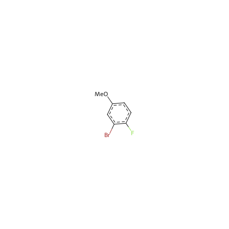 [CH2]Oc1ccc(F)c(Br)c1